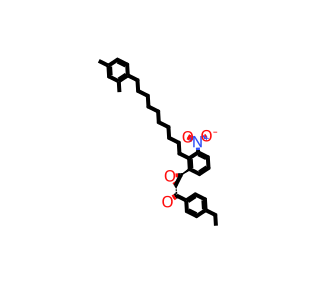 CCc1ccc(C(=O)[C@@H]2O[C@H]2c2cccc([N+](=O)[O-])c2CCCCCCCCCCc2ccc(C)cc2C)cc1